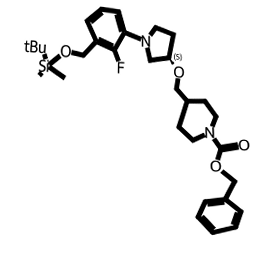 CC(C)(C)[Si](C)(C)OCc1cccc(N2CC[C@H](OCC3CCN(C(=O)OCc4ccccc4)CC3)C2)c1F